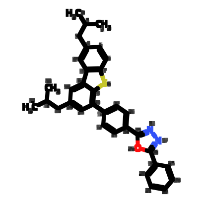 CC(C)Cc1ccc2sc3c(-c4ccc(-c5nnc(-c6ccccc6)o5)cc4)cc(CC(C)C)cc3c2c1